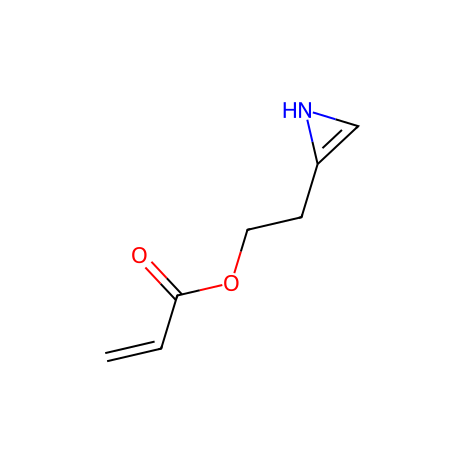 C=CC(=O)OCCC1=CN1